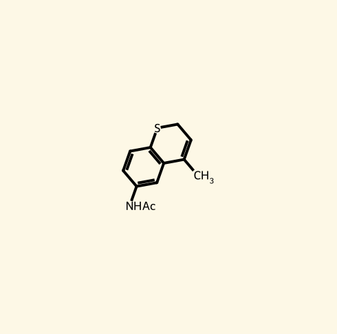 CC(=O)Nc1ccc2c(c1)C(C)=CCS2